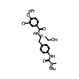 CCCOc1ccc(C(=O)N[C@H](CCO)Cc2ccc(NC(=O)N(C)C(C)(C)C)cc2)cc1Cl